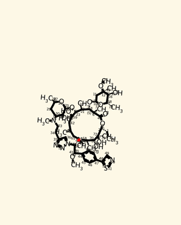 CC[C@H]1OC(=O)[C@H](C)[C@@H](O[C@H]2C[C@@](C)(OC)[C@@H](O)[C@H](C)O2)[C@H](C)[C@@H](O[C@@H]2O[C@H](C)C[C@H](N(C)CCc3cn([C@H](CF)[C@H](OC)c4ccc(-c5cncs5)cc4)nn3)[C@H]2O)[C@](C)(O)C[C@@H](C)CN(C)[C@H](C)[C@@H](O)[C@]1(C)O